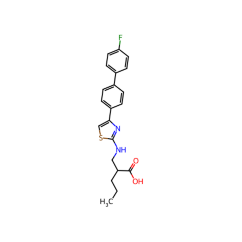 CCCC(CNc1nc(-c2ccc(-c3ccc(F)cc3)cc2)cs1)C(=O)O